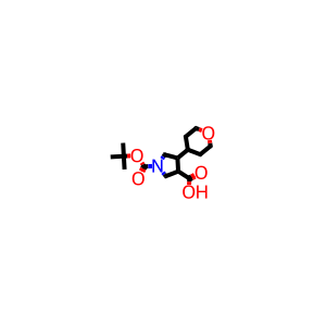 CC(C)(C)OC(=O)N1CC(C(=O)O)C(C2CCOCC2)C1